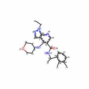 CCn1ncc2c(NC3CCOCC3)c(C(=O)NC(C)c3cccc(C)c3C)cnc21